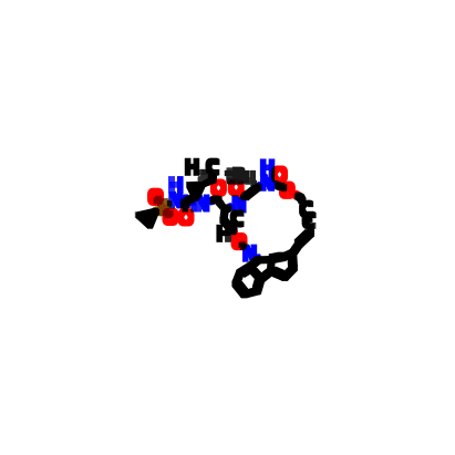 C=C[C@@H]1C[C@]1(NC(=O)[C@@H]1C[C@@H]2CN1C(=O)[C@H](C(C)(C)C)NC(=O)OCCC/C=C/c1ccc3c(c1)/C(=N\O2)c1ccccc1-3)C(=O)NS(=O)(=O)C1CC1